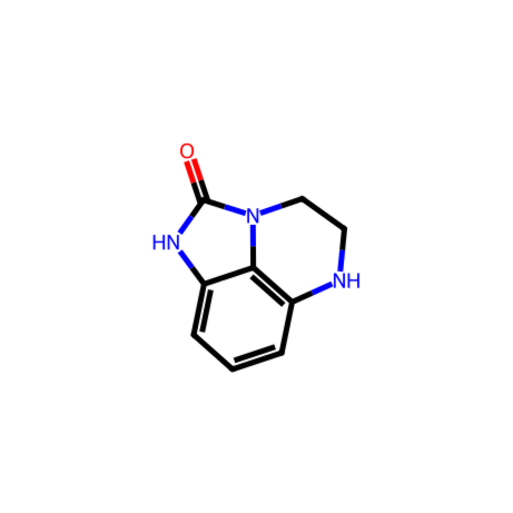 O=c1[nH]c2cccc3c2n1CCN3